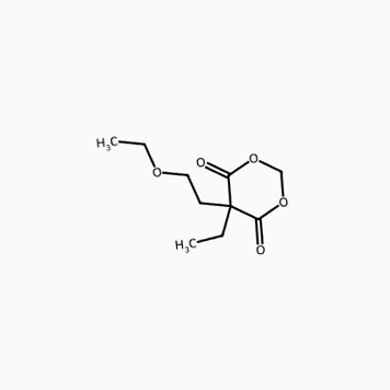 CCOCCC1(CC)C(=O)OCOC1=O